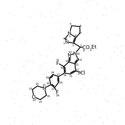 CCOC(=O)C(c1ncn2c1CCC2)n1cc2c(Cl)cc(-c3ccc(N4CCOCC4)c(F)c3)c(F)c2n1